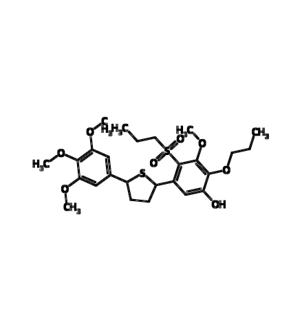 CCCOc1c(O)cc(C2CCC(c3cc(OC)c(OC)c(OC)c3)S2)c(S(=O)(=O)CCC)c1OC